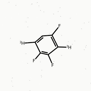 [2H]c1[c]c(F)c([2H])c(F)c1F